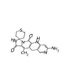 Cc1c2c(c(=O)n3c1C(=O)NC31CCSCC1)Nc1cc(N)ncc1C2